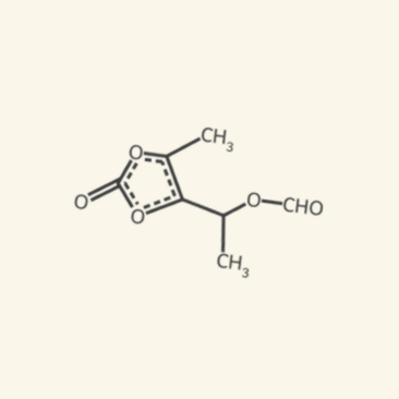 Cc1oc(=O)oc1C(C)OC=O